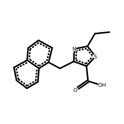 CCc1nc(Cc2cccc3ccccc23)c(C(=O)O)s1